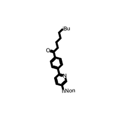 CCCCCCCCCc1ccc(-c2ccc(C(=O)CCCCC(C)CC)cc2)nc1